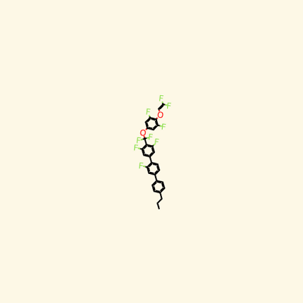 CCCc1ccc(-c2ccc(-c3cc(F)c(C(F)(F)Oc4cc(F)c(OC=C(F)F)c(F)c4)c(F)c3)c(F)c2)cc1